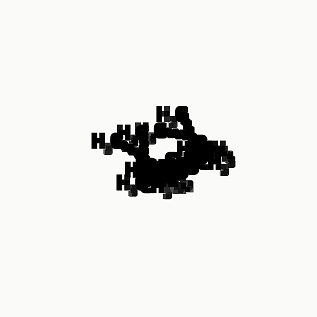 CCCCCCCCC(CCCCCC)CCC(=O)NC1CC(C)(C)CC(C)(CNC(=O)CCCc2c(C)[nH]c(N(N)C(=O)N(N)CC3(C)CC(NC(=O)OCC(CCCCCC)CCCCCCCC)CC(C)(C)C3)nc2=O)C1